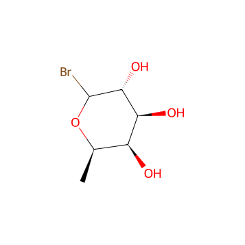 C[C@H]1OC(Br)[C@H](O)[C@@H](O)[C@H]1O